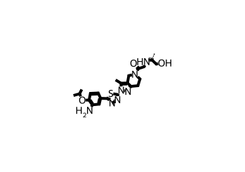 Cc1c2c(nn1-c1nnc(-c3ccc(OC(C)C)c(N)c3)s1)CCN(C(=O)CN[C@H](C)CO)C2